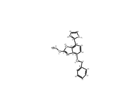 CC(C)(C)Oc1nc2c(OCc3ccccc3)ccc(-c3nccs3)c2o1